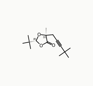 CC(C)(C)C#CC[C@]1(C)O[C@@H](C(C)(C)C)OC1=O